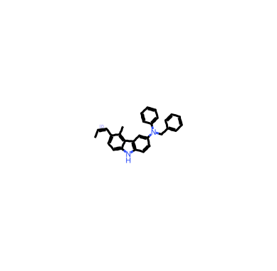 C/C=C\c1ccc2[nH]c3ccc(N(Cc4ccccc4)c4ccccc4)cc3c2c1C